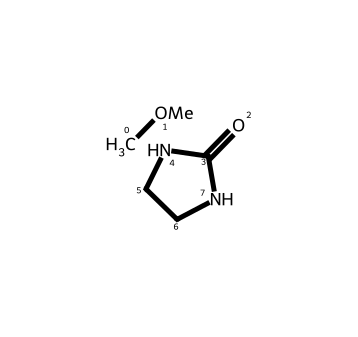 COC.O=C1NCCN1